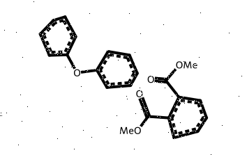 COC(=O)c1ccccc1C(=O)OC.c1ccc(Oc2ccccc2)cc1